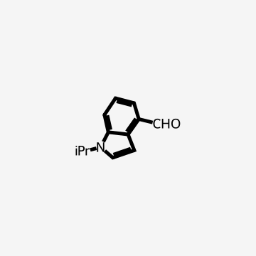 CC(C)n1ccc2c(C=O)cccc21